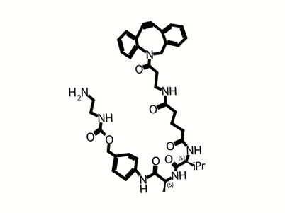 CC(C)[C@H](NC(=O)CCCC(=O)NCCC(=O)N1Cc2ccccc2C#Cc2ccccc21)C(=O)N[C@@H](C)C(=O)Nc1ccc(COC(=O)NCCN)cc1